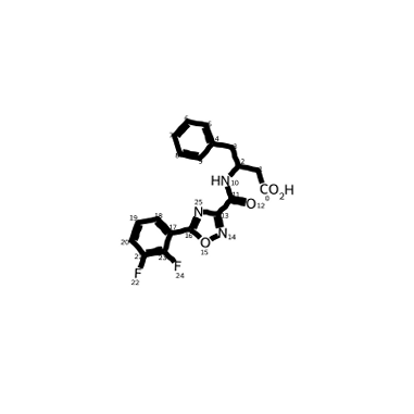 O=C(O)CC(Cc1ccccc1)NC(=O)c1noc(-c2cccc(F)c2F)n1